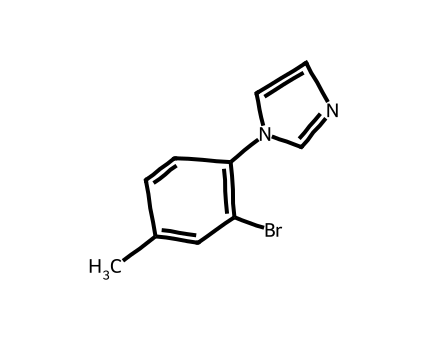 Cc1ccc(-n2ccnc2)c(Br)c1